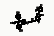 O=C1CCC(N2Cc3cc(CNCCOc4ccc(C(=C(CCCl)c5ccc(O)cc5)c5ccc(O)cc5)cc4)c(F)cc3C2=O)C(=O)N1